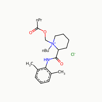 CCCC[N+]1(COC(=O)CCC)CCCCC1C(=O)Nc1c(C)cccc1C.[Cl-]